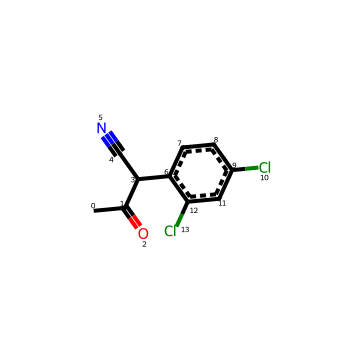 CC(=O)C(C#N)c1ccc(Cl)cc1Cl